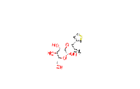 CC(O[C@@H]1[C@@H](O)[C@H](O)[C@@H](CO)O[C@@H]1O)c1ccsc1